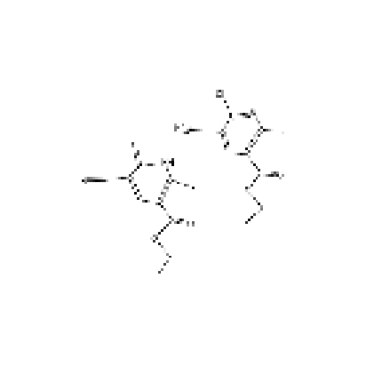 CCOC(=O)c1cc(C#N)c(=O)[nH]c1C.CCOC(=O)c1cc(C#N)c(Cl)nc1C